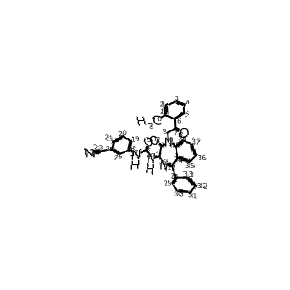 Cc1ccccc1C(=O)CN1C(=O)C(NC(=O)Nc2cccc(C#N)c2)N=C(c2ccccc2)c2ccccc21